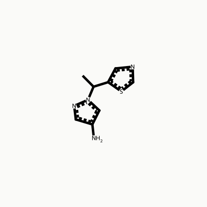 CC(c1cncs1)n1cc(N)cn1